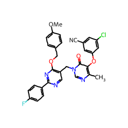 COc1ccc(COc2nc(-c3ccc(F)cc3)ncc2Cn2cnc(C)c(Oc3cc(Cl)cc(C#N)c3)c2=O)cc1